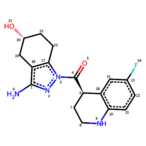 Nc1nn(C(=O)[C@@H]2CCNc3ccc(F)cc32)c2c1C[C@H](O)CC2